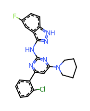 Fc1ccc2[nH]nc(Nc3nc(-c4ccccc4Cl)cc(N4CCCCC4)n3)c2c1